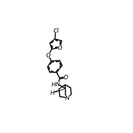 O=C(N[C@H]1CN2CCC1CC2)c1ccc(Oc2cc(Cl)co2)cc1